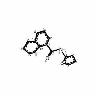 O=C(Nc1cccs1)c1cccc2ccccc12